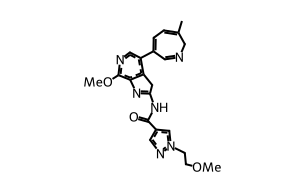 COCCn1cc(C(=O)NC2=Nc3c(OC)ncc(C4=CC=C(C)CN=C4)c3C2)cn1